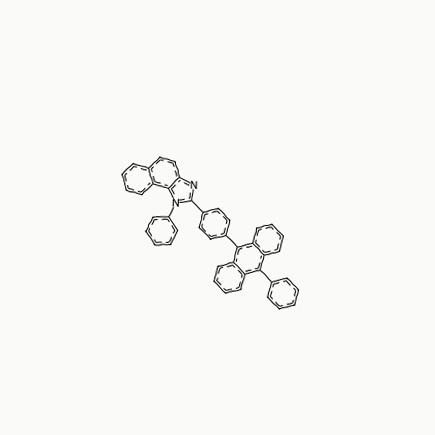 c1ccc(-c2c3ccccc3c(-c3ccc(-c4nc5ccc6ccccc6c5n4-c4ccccc4)cc3)c3ccccc23)cc1